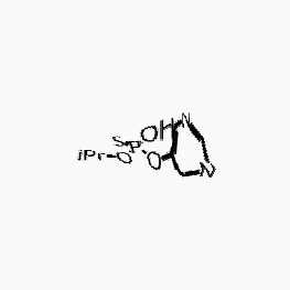 CC(C)OP(O)(=S)Oc1cncnc1